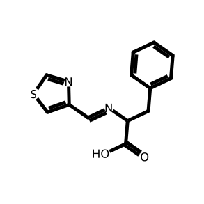 O=C(O)C(Cc1ccccc1)N=Cc1cscn1